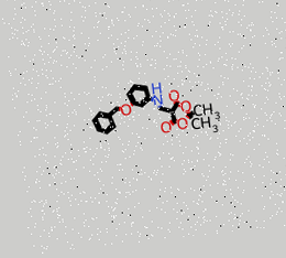 CC1(C)OC(=O)C(CNc2cccc(OCc3ccccc3)c2)C(=O)O1